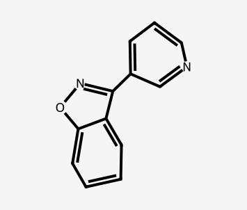 c1cncc(-c2noc3ccccc23)c1